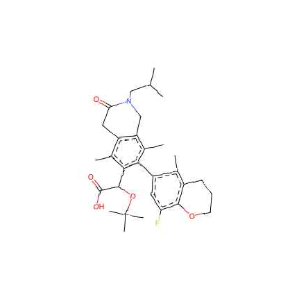 Cc1c(-c2c(C)c3c(c(C)c2C(OC(C)(C)C)C(=O)O)CC(=O)N(CC(C)C)C3)cc(F)c2c1CCCO2